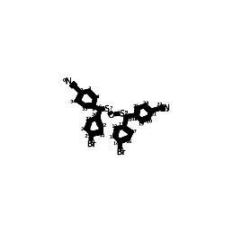 N#Cc1ccc(C(SOSC(c2ccc(Br)cc2)c2ccc(C#N)cc2)c2ccc(Br)cc2)cc1